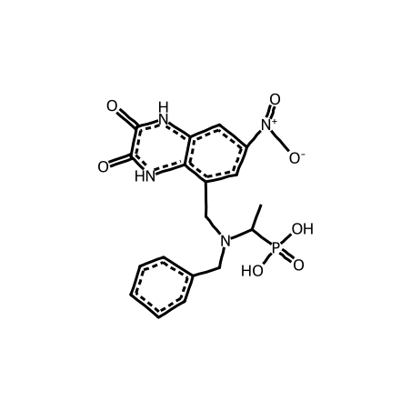 CC(N(Cc1ccccc1)Cc1cc([N+](=O)[O-])cc2[nH]c(=O)c(=O)[nH]c12)P(=O)(O)O